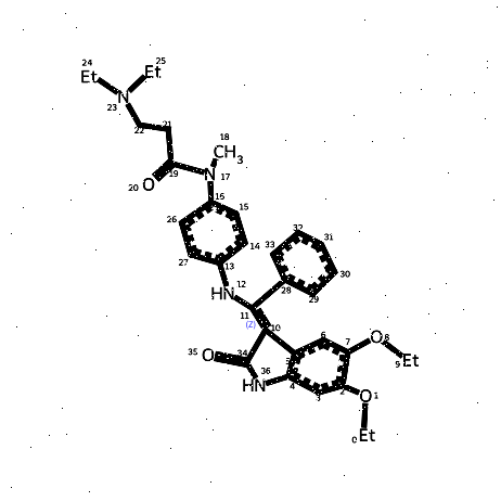 CCOc1cc2c(cc1OCC)/C(=C(/Nc1ccc(N(C)C(=O)CCN(CC)CC)cc1)c1ccccc1)C(=O)N2